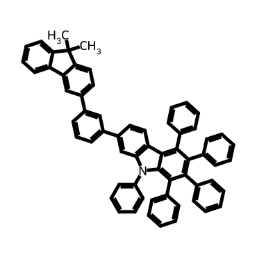 CC1(C)c2ccccc2-c2cc(-c3cccc(-c4ccc5c6c(-c7ccccc7)c(-c7ccccc7)c(-c7ccccc7)c(-c7ccccc7)c6n(-c6ccccc6)c5c4)c3)ccc21